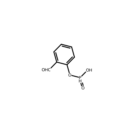 O=Cc1ccccc1O[PH](=O)O